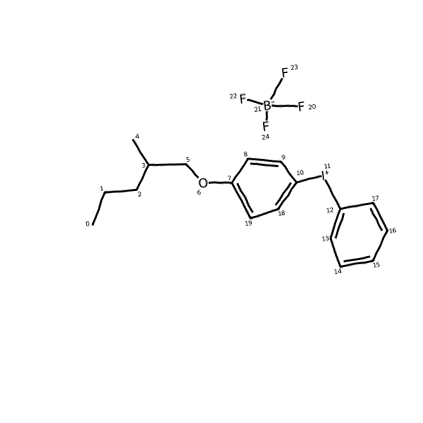 CCCC(C)COc1ccc([I+]c2ccccc2)cc1.F[B-](F)(F)F